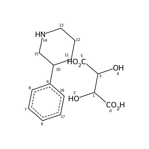 O=C(O)C(O)C(O)C(=O)O.c1ccc(C2CCCNC2)cc1